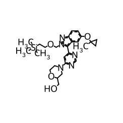 CC1(Oc2ccc3nn(COCC[Si](C)(C)C)c(-c4cc(N5CCOC(CO)C5)ncn4)c3c2)CC1